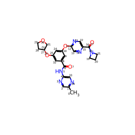 Cc1cnc(NC(=O)c2cc(Oc3cnc(C(=O)N4CCC4)cn3)cc(O[C@H]3CCOC3)c2)cn1